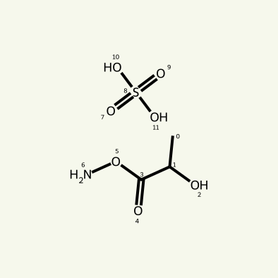 CC(O)C(=O)ON.O=S(=O)(O)O